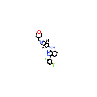 Fc1ccc(F)c(-c2nnc(NC3C[C@@H]4CN(CC5CCOCC5)C[C@@H]4C3)c3c2CCCC3)c1